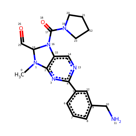 CN1c2nc(-c3cccc(CN)c3)ncc2N(C(=O)N2CCCC2)C1C=O